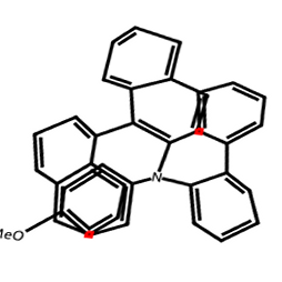 COc1ccc(N(c2ccccc2-c2ccccc2)c2ccc3ccccc3c2-c2cccc3ccccc23)cc1